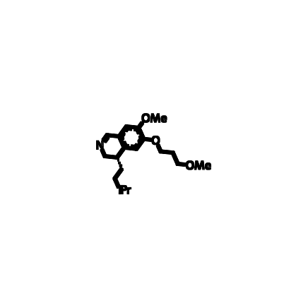 COCCCOc1cc2c(cc1OC)C=NC[C@H]2CCC(C)C